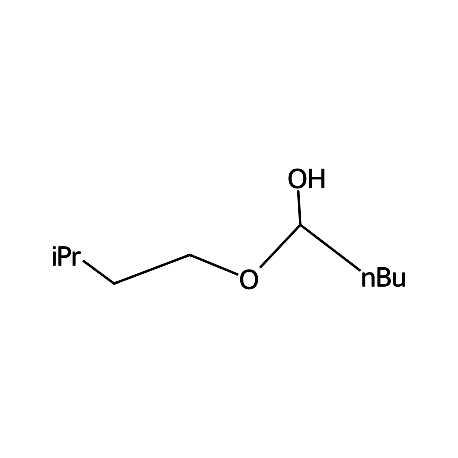 CCCCC(O)OCCC(C)C